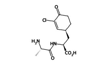 C[C@H](N)C(=O)N[C@@H](C[C@H]1C=C(Cl)C(=O)CC1)C(=O)O